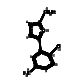 CCOC(=O)c1nnc(-c2cc(C(F)(F)F)ccc2Cl)o1